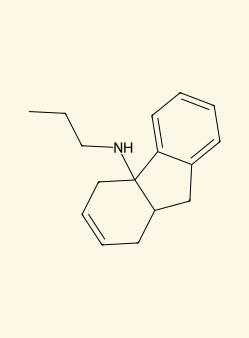 CCCNC12CC=CCC1Cc1ccccc12